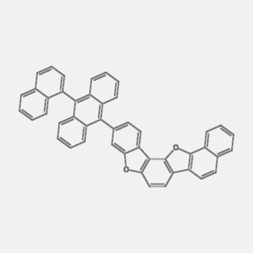 c1ccc2c(-c3c4ccccc4c(-c4ccc5c(c4)oc4ccc6c7ccc8ccccc8c7oc6c45)c4ccccc34)cccc2c1